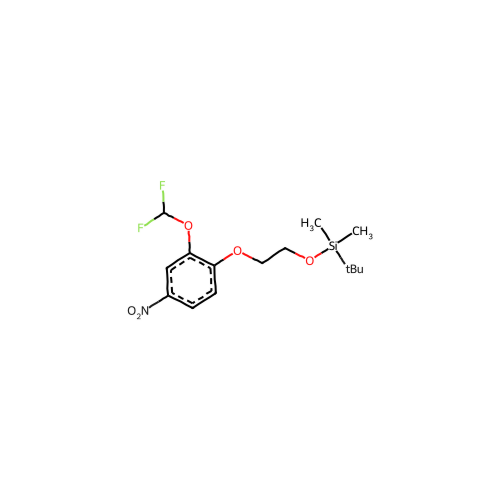 CC(C)(C)[Si](C)(C)OCCOc1ccc([N+](=O)[O-])cc1OC(F)F